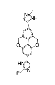 Cc1ncc(-c2cc3c4c(c2)COc2cc(-c5cnc(C(C)C)[nH]5)cc(c2-4)OC3)[nH]1